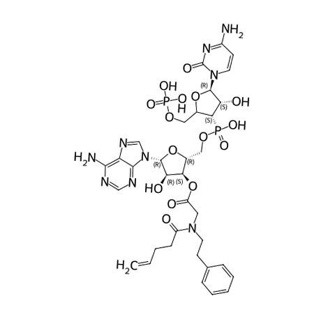 C=CCCC(=O)N(CCc1ccccc1)CC(=O)O[C@H]1[C@@H](O)[C@H](n2cnc3c(N)ncnc32)O[C@@H]1COP(=O)(O)[C@@H]1C(COP(=O)(O)O)O[C@@H](n2ccc(N)nc2=O)[C@@H]1O